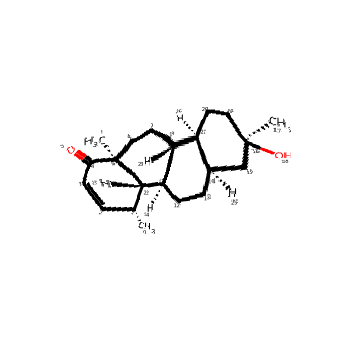 C[C@@H]1C=CC(=O)[C@@]2(C)CC[C@H]3[C@@H](CC[C@@H]4C[C@](C)(O)CC[C@@H]43)[C@H]12